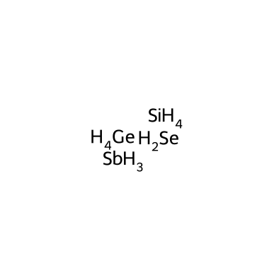 [GeH4].[SbH3].[SeH2].[SiH4]